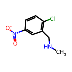 CNCc1cc([N+](=O)[O-])ccc1Cl